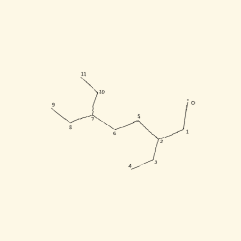 [CH2]CC(CC)CCC(CC)CC